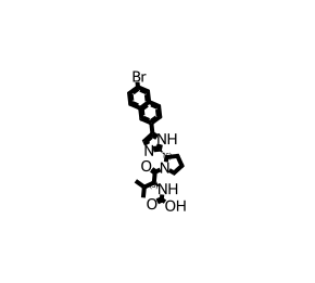 CC(C)[C@H](NC(=O)O)C(=O)N1CCC[C@H]1c1ncc(-c2ccc3cc(Br)ccc3c2)[nH]1